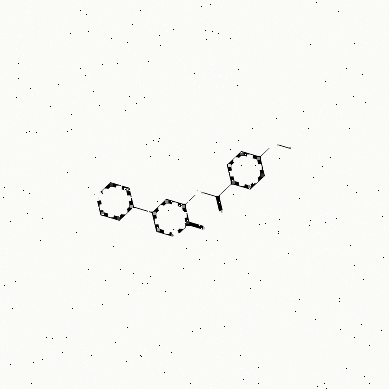 O=C(Nc1cc(-c2ccncc2)c[nH]c1=O)c1ccc(OF)cc1